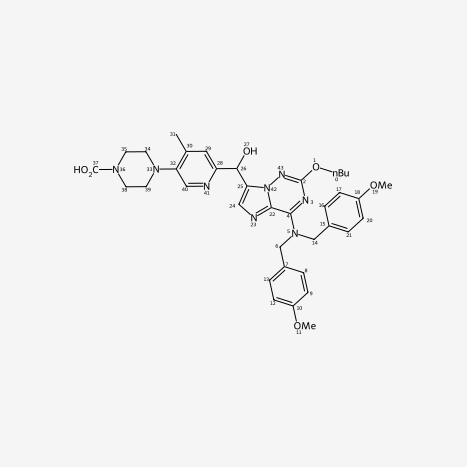 CCCCOc1nc(N(Cc2ccc(OC)cc2)Cc2ccc(OC)cc2)c2ncc(C(O)c3cc(C)c(N4CCN(C(=O)O)CC4)cn3)n2n1